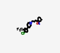 FC(F)(F)c1cc(C2CCN(CCCc3onc4c3CCCCC4)CC2)ccc1Cl